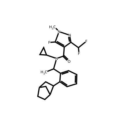 CC(c1ccccc1C1CC2CCC1C2)N(C(=O)c1c(C(F)F)nn(C)c1F)C1CC1